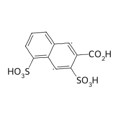 O=C(O)c1[c]c2cccc(S(=O)(=O)O)c2[c]c1S(=O)(=O)O